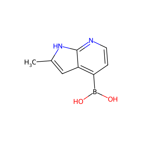 Cc1cc2c(B(O)O)ccnc2[nH]1